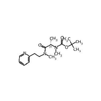 C[C@@H](C(=O)N(C)CCc1ccccn1)N(C)C(=O)OC(C)(C)C